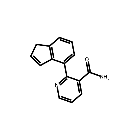 NC(=O)c1cccnc1-c1cccc2c1C=CC2